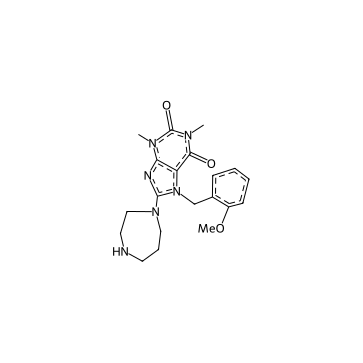 COc1ccccc1Cn1c(N2CCCNCC2)nc2c1c(=O)n(C)c(=O)n2C